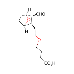 O=C[C@H]1[C@@H](CCOCCCC(=O)O)[C@H]2CC[C@@H]1O2